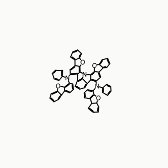 C1=CC2Oc3c(cccc3N(c3ccccc3)c3cc4c5ccccc5oc4c4c3c3cccc5c6c(N(c7ccccc7)c7cccc8c7oc7ccccc78)cc7c8ccccc8oc7c6n4c35)C2C=C1